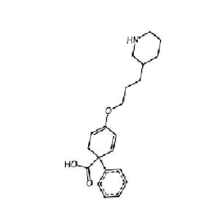 O=C(O)C1(c2ccccc2)C=CC(OCCCC2CCCNC2)=CC1